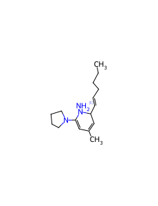 CCCC/C=C/C1C=C(C)C=C(N2CCCC2)N1N